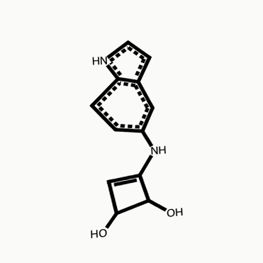 OC1C=C(Nc2ccc3[nH]ccc3c2)C1O